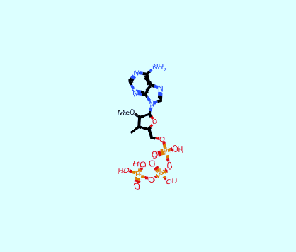 COC1C(C)C(COP(=O)(O)OP(=O)(O)OP(=O)(O)O)OC1n1cnc2c(N)ncnc21